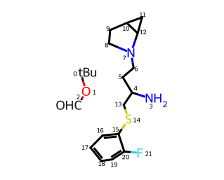 CC(C)(C)OC=O.NC(CCN1CCC2CC21)CSc1ccccc1F